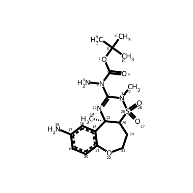 CN1C(N(N)C(=O)OC(C)(C)C)=N[C@]2(C)c3cc(N)ccc3OCCC2S1(=O)=O